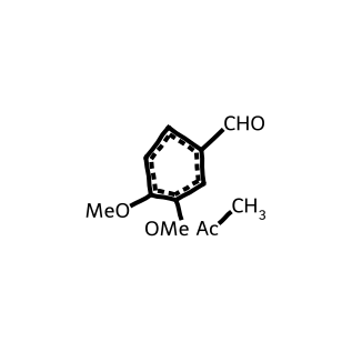 CC(C)=O.COc1ccc(C=O)cc1OC